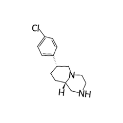 Clc1ccc([C@H]2CC[C@H]3CNCCN3C2)cc1